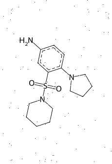 Nc1ccc(N2CCCC2)c(S(=O)(=O)N2CCCCC2)c1